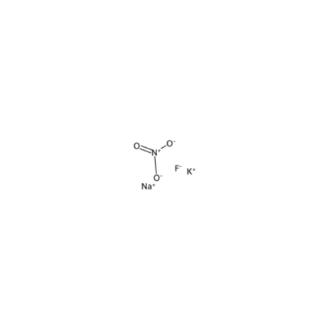 O=[N+]([O-])[O-].[F-].[K+].[Na+]